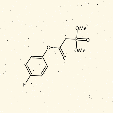 COP(=O)(CC(=O)Oc1ccc(F)cc1)OC